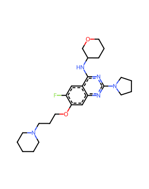 Fc1cc2c(NC3CCCOC3)nc(N3CCCC3)nc2cc1OCCCN1CCCCC1